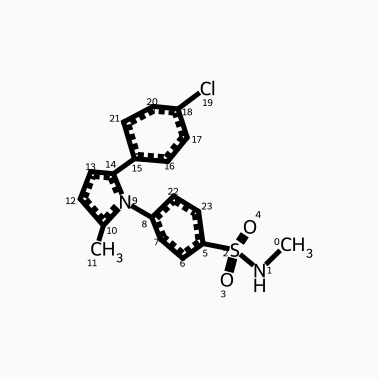 CNS(=O)(=O)c1ccc(-n2c(C)ccc2-c2ccc(Cl)cc2)cc1